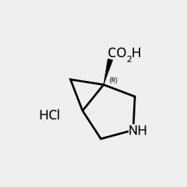 Cl.O=C(O)[C@@]12CNCC1C2